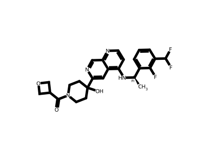 C[C@@H](Nc1ccnc2cnc(C3(O)CCN(C(=O)C4COC4)CC3)cc12)c1cccc(C(F)F)c1F